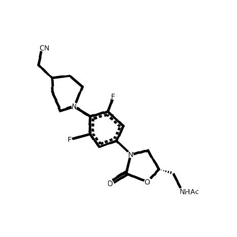 CC(=O)NC[C@H]1CN(c2cc(F)c(N3CCC(CC#N)CC3)c(F)c2)C(=O)O1